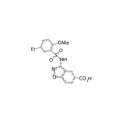 CCc1ccc(OC)c(S(=O)(=O)Nc2noc3ccc(C(=O)O)cc23)c1